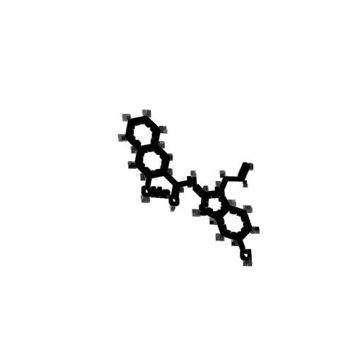 C=CCn1/c(=N/C(=O)c2cc3ccccc3cc2OC)sc2cc(Cl)ccc21